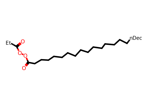 CCCCCCCCCCCCCCCCCCCCCCCCCC(=O)OOC(=O)CC